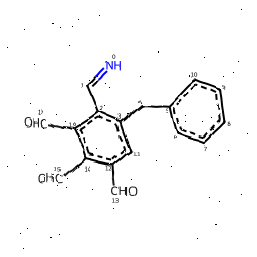 N=Cc1c(Cc2ccccc2)cc(C=O)c(C=O)c1C=O